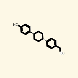 CCC(C)Cc1ccc([C@H]2CC[C@H](c3ccc(C#N)cc3)CC2)cc1